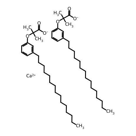 CCCCCCCCCCCCCCCc1cccc(OC(C)(C)C(=O)[O-])c1.CCCCCCCCCCCCCCCc1cccc(OC(C)(C)C(=O)[O-])c1.[Ca+2]